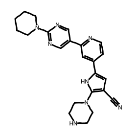 N#Cc1cc(-c2ccnc(-c3cnc(N4CCCCC4)nc3)c2)[nH]c1N1CCNCC1